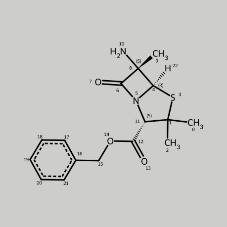 CC1(C)S[C@H]2N(C(=O)[C@]2(C)N)[C@H]1C(=O)OCc1ccccc1